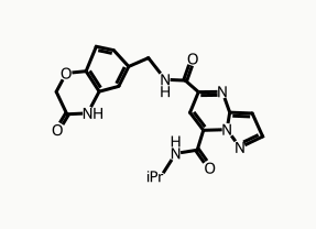 CC(C)NC(=O)c1cc(C(=O)NCc2ccc3c(c2)NC(=O)CO3)nc2ccnn12